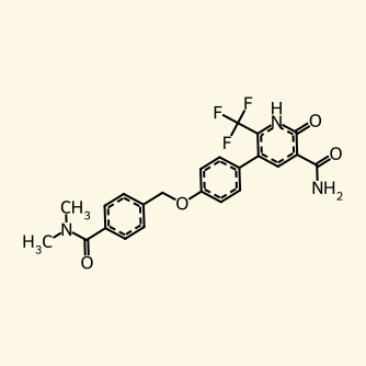 CN(C)C(=O)c1ccc(COc2ccc(-c3cc(C(N)=O)c(=O)[nH]c3C(F)(F)F)cc2)cc1